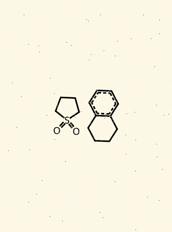 O=S1(=O)CCCC1.c1ccc2c(c1)CCCC2